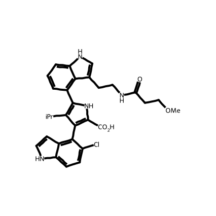 COCCC(=O)NCCc1c[nH]c2cccc(-c3[nH]c(C(=O)O)c(-c4c(Cl)ccc5[nH]ccc45)c3C(C)C)c12